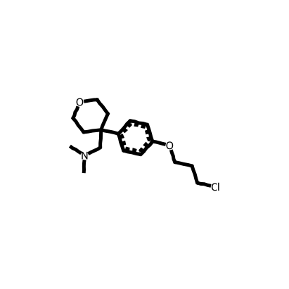 CN(C)CC1(c2ccc(OCCCCl)cc2)CCOCC1